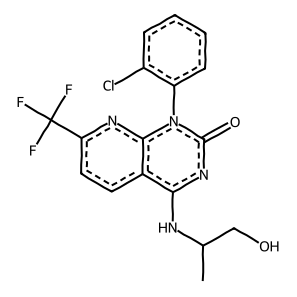 CC(CO)Nc1nc(=O)n(-c2ccccc2Cl)c2nc(C(F)(F)F)ccc12